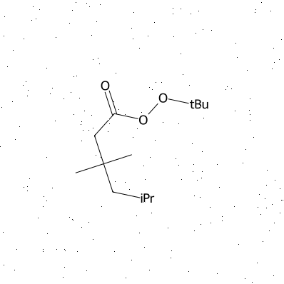 CC(C)CC(C)(C)CC(=O)OOC(C)(C)C